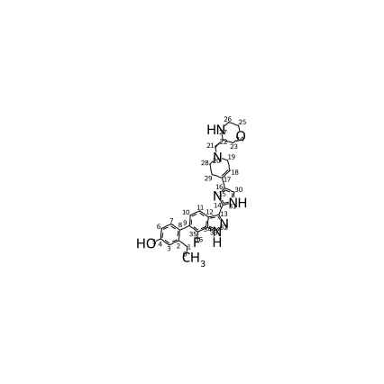 CCc1cc(O)ccc1-c1ccc2c(-c3nc(C4=CCN(C[C@@H]5COCCN5)CC4)c[nH]3)n[nH]c2c1F